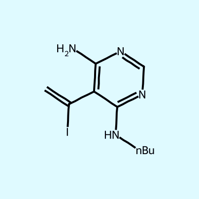 C=C(I)c1c(N)ncnc1NCCCC